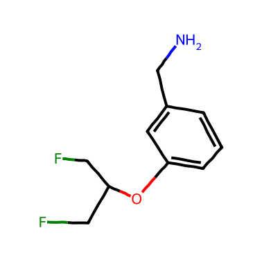 NCc1cccc(OC(CF)CF)c1